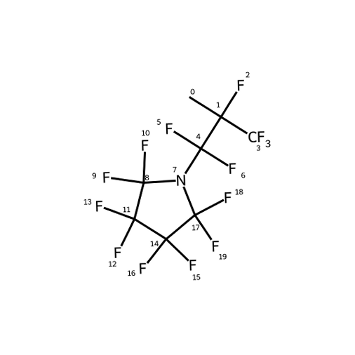 CC(F)(C(F)(F)F)C(F)(F)N1C(F)(F)C(F)(F)C(F)(F)C1(F)F